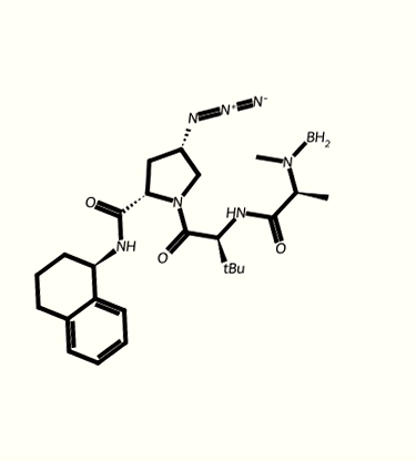 BN(C)[C@@H](C)C(=O)N[C@H](C(=O)N1C[C@@H](N=[N+]=[N-])C[C@H]1C(=O)N[C@@H]1CCCc2ccccc21)C(C)(C)C